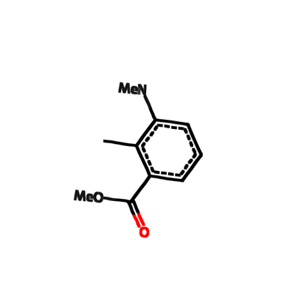 CNc1cccc(C(=O)OC)c1C